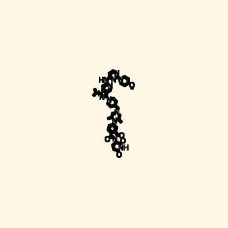 COC1CCN(c2nccc(Nc3cc4c(cn3)c(N3CCC(CN5CC(C)N(c6ccc7c(c6)C(=O)N(C6CCC(=O)NC6=O)C7=O)C(C)C5)CC3)nn4C(C)C)n2)CC1